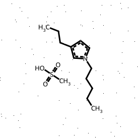 CCCCCn1ccc(CCC)c1.CS(=O)(=O)O